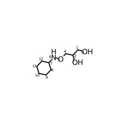 OCC(O)CONC1CCCCC1